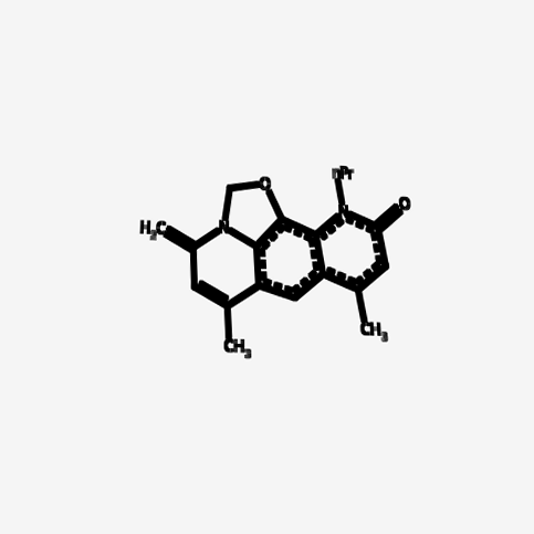 C=C1C=C(C)c2cc3c(C)cc(=O)n(CCC)c3c3c2N1CO3